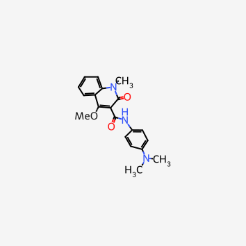 COc1c(C(=O)Nc2ccc(N(C)C)cc2)c(=O)n(C)c2ccccc12